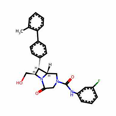 Cc1ccccc1-c1ccc([C@H]2[C@H](CO)N3C(=O)CN(C(=O)Nc4cccc(F)c4)C[C@@H]23)cc1